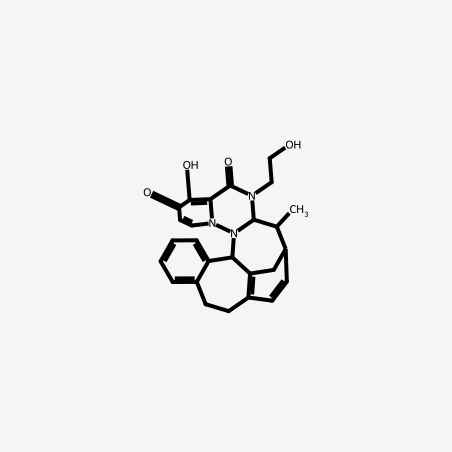 CC1C2C=CC3=C(C2)C(c2ccccc2CC3)N2C1N(CCO)C(=O)c1c(O)c(=O)ccn12